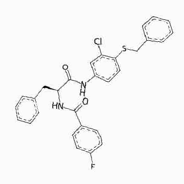 O=C(N[C@@H](Cc1ccccc1)C(=O)Nc1ccc(SCc2ccccc2)c(Cl)c1)c1ccc(F)cc1